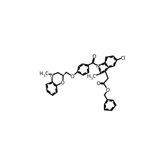 Cc1c(CC(=O)OCc2ccccc2)c2cc(Cl)ccc2n1C(=O)c1ccc(OC[C@@H]2CN(C)c3ccccc3O2)cc1